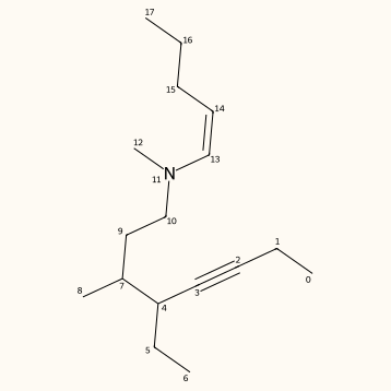 CCC#CC(CC)C(C)CCN(C)/C=C\CCC